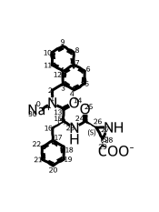 CN(Cc1cccc2ccccc12)C(=O)[C@H](Cc1ccccc1)NC(=O)[C@H]1N[C@@H]1C(=O)[O-].[Na+]